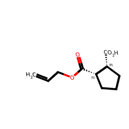 C=CCOC(=O)[C@H]1CCC[C@H]1C(=O)O